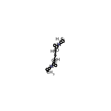 CN1CCCc2cc(/N=N/c3cc[n+](CC(=O)NCCSSCCNC(=O)C[n+]4ccc(/N=N/c5ccc6c(c5)CCCN6C)c5ccccc54)c4ccccc34)ccc21